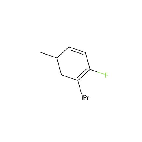 CC1C=CC(F)=C(C(C)C)C1